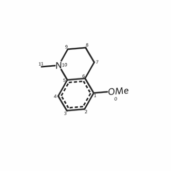 COc1cccc2c1CCCN2C